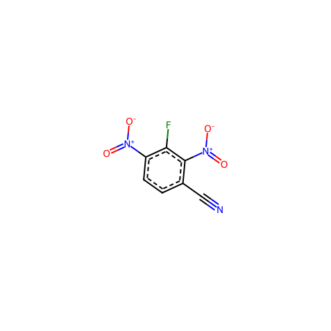 N#Cc1ccc([N+](=O)[O-])c(F)c1[N+](=O)[O-]